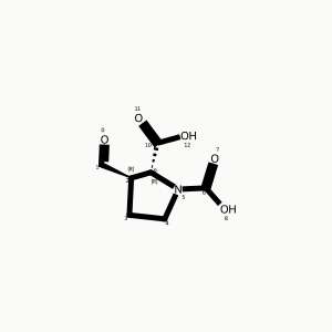 O=C[C@@H]1CCN(C(=O)O)[C@H]1C(=O)O